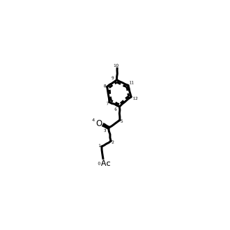 CC(=O)CCC(=O)Cc1ccc(C)cc1